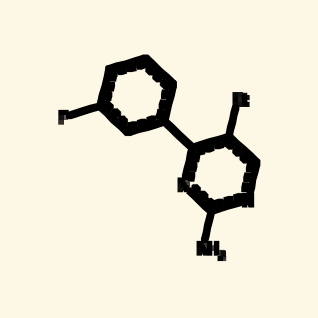 CCc1cnc(N)nc1-c1cccc(F)c1